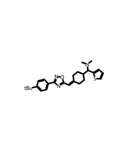 CN(C)C(c1cccs1)C1CCC(=Cc2nc(-c3ccc(C(C)(C)C)cc3)no2)CC1